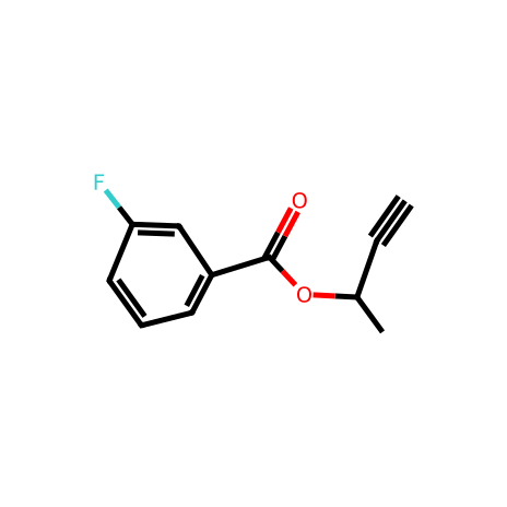 C#CC(C)OC(=O)c1cccc(F)c1